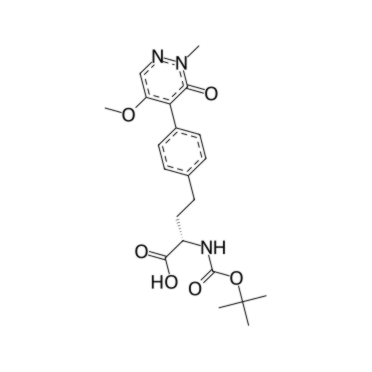 COc1cnn(C)c(=O)c1-c1ccc(CC[C@H](NC(=O)OC(C)(C)C)C(=O)O)cc1